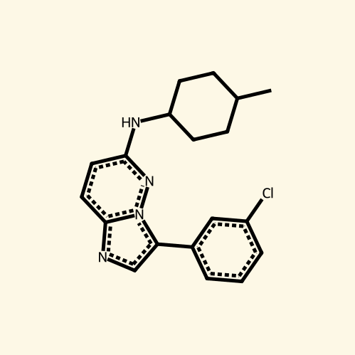 CC1CCC(Nc2ccc3ncc(-c4cccc(Cl)c4)n3n2)CC1